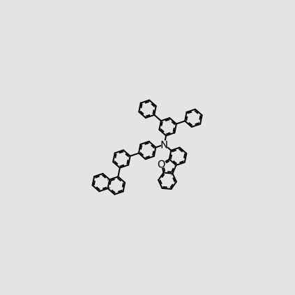 c1ccc(-c2cc(-c3ccccc3)cc(N(c3ccc(-c4cccc(-c5cccc6ccccc56)c4)cc3)c3cccc4c3oc3ccccc34)c2)cc1